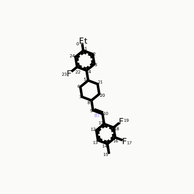 CCc1ccc(C2CCC(/C=C/c3ccc(C)c(F)c3F)CC2)c(F)c1